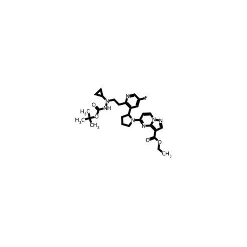 CCOC(=O)c1cnn2ccc(N3CCCC3c3cc(F)cnc3CCN(NC(=O)OC(C)(C)C)C3CC3)nc12